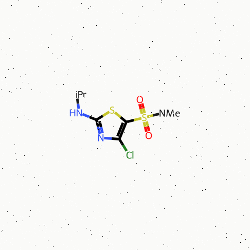 CNS(=O)(=O)c1sc(NC(C)C)nc1Cl